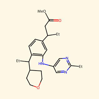 CCc1ncc(Nc2cc(C(CC)CC(=O)OC)ccc2C(CC)C2CCOCC2)cn1